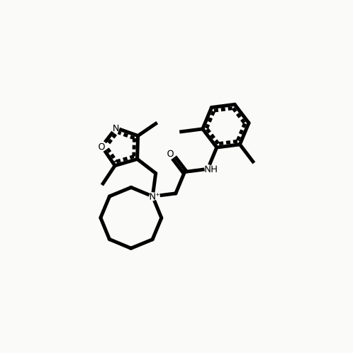 Cc1cccc(C)c1NC(=O)C[N+]1(Cc2c(C)noc2C)CCCCCCC1